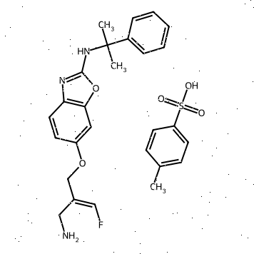 CC(C)(Nc1nc2ccc(OCC(=CF)CN)cc2o1)c1ccccc1.Cc1ccc(S(=O)(=O)O)cc1